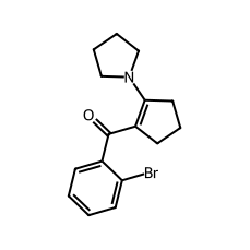 O=C(C1=C(N2CCCC2)CCC1)c1ccccc1Br